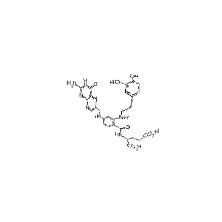 Nc1nc2ncc(CNc3ccc(C(=O)N[C@@H](CCC(=O)O)C(=O)O)c(NCCc4ccc(O)c(O)c4)c3)nc2c(=O)[nH]1